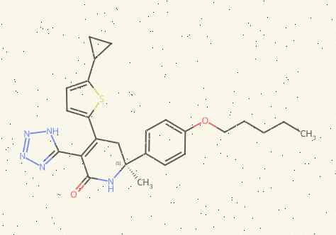 CCCCCOc1ccc([C@]2(C)CC(c3ccc(C4CC4)s3)=C(c3nnn[nH]3)C(=O)N2)cc1